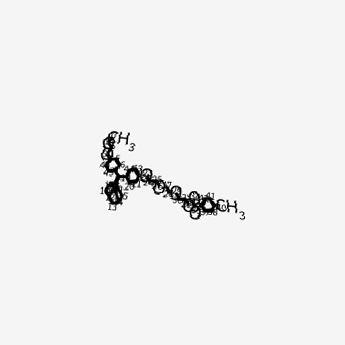 COCOc1ccc(C(=C2C3CC4CC(C3)CC2C4)c2ccc(OCCOCCOCCOS(=O)(=O)c3ccc(C)cc3)cc2)cc1